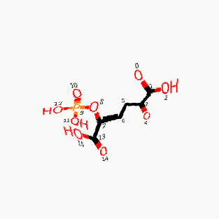 O=C(O)C(=O)CC=C(OP(=O)(O)O)C(=O)O